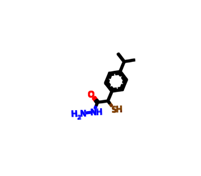 CC(C)c1ccc(C(S)C(=O)NN)cc1